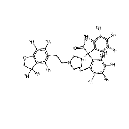 [2H]c1c([2H])c([2H])c(C(C(N)=O)(c2c([2H])c([2H])c([2H])c([2H])c2[2H])[C@@H]2CCN(CCc3c([2H])c([2H])c4c(c3[2H])C([2H])([2H])CO4)C2)c([2H])c1[2H]